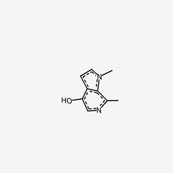 Cc1ncc(O)c2ccn(C)c12